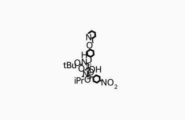 CC(C)CN(C[C@@H](O)[C@H](Cc1ccc(OCc2ccccn2)cc1)NC(=O)OC(C)(C)C)S(=O)(=O)c1ccc([N+](=O)[O-])cc1